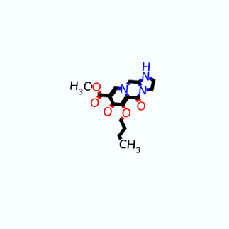 CCCCOc1c2n(cc(C(=O)OC)c1=O)CC1NCCN1C2=O